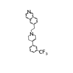 FC(F)(F)c1cccc(C2=CCN(CCc3ccc4cnccc4c3)CC2)c1